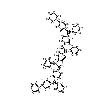 c1ccc(-c2ccc(N(c3ccccc3)c3ccc(-c4cc5cc6c(cc(-c7ccc(N(c8ccccc8)c8ccc(-c9ccccc9)cc8)cc7)n6-c6ccccc6)cc5n4-c4ccccc4)cc3)cc2)cc1